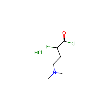 CN(C)CCC(F)C(=O)Cl.Cl